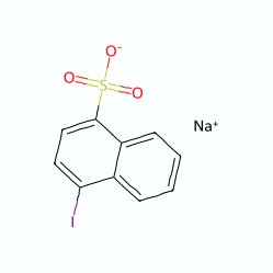 O=S(=O)([O-])c1ccc(I)c2ccccc12.[Na+]